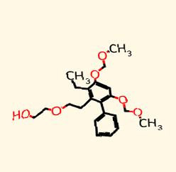 CCc1c(OCOC)cc(OCOC)c(-c2ccccc2)c1CCOCCO